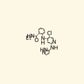 CCNC(=O)c1ccccc1Nc1cc(Nc2ccn[nH]2)ncc1Cl